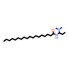 CCCCCCCCCCCCCCCCCC(=O)NC(CC)N(C)C